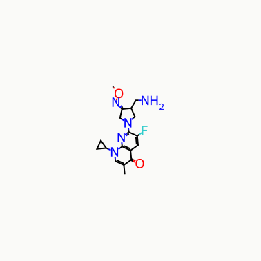 CO/N=C1/CN(c2nc3c(cc2F)c(=O)c(C)cn3C2CC2)CC1CN